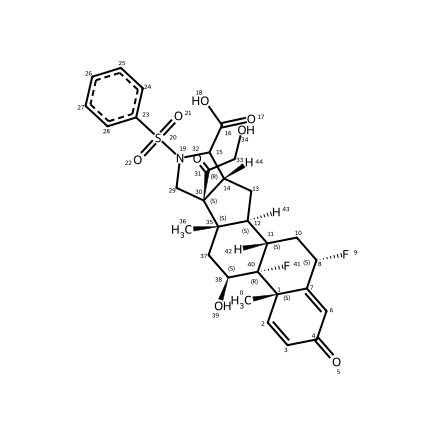 C[C@]12C=CC(=O)C=C1[C@@H](F)C[C@H]1[C@@H]3C[C@H]4C(C(=O)O)N(S(=O)(=O)c5ccccc5)C[C@@]4(C(=O)CO)[C@@]3(C)C[C@H](O)[C@@]12F